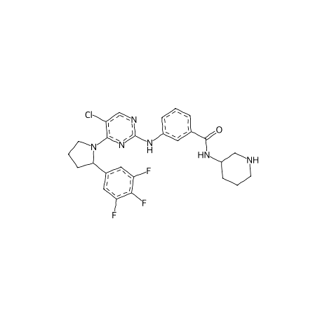 O=C(NC1CCCNC1)c1cccc(Nc2ncc(Cl)c(N3CCCC3c3cc(F)c(F)c(F)c3)n2)c1